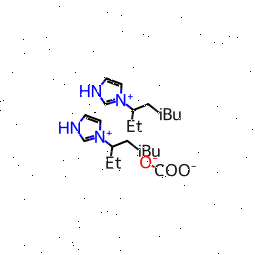 CCC(C)CC(CC)[n+]1cc[nH]c1.CCC(C)CC(CC)[n+]1cc[nH]c1.O=C([O-])[O-]